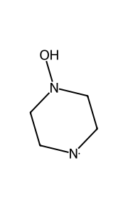 ON1CC[N]CC1